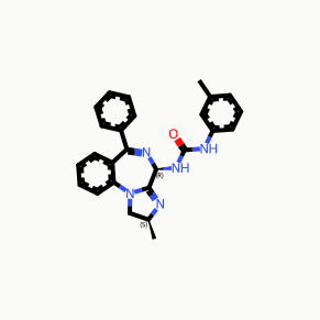 Cc1cccc(NC(=O)N[C@@H]2N=C(c3ccccc3)c3ccccc3N3C[C@H](C)N=C23)c1